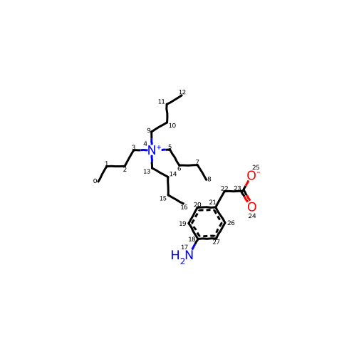 CCCC[N+](CCCC)(CCCC)CCCC.Nc1ccc(CC(=O)[O-])cc1